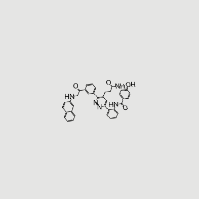 NC(=O)CCc1cc(-c2ccccc2NC(=O)c2ccc(O)cc2)nnc1-c1cccc(C(=O)CNc2ccc3ccccc3c2)c1